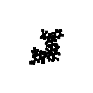 C/C(=C\[C@H](C(C)C)N(C)C(=O)[C@@H](NC(=O)[C@@H](N(C)C(=O)OC(C)(C)C)C(C)(C)c1ccccc1)C(C)(C)C)C(=O)N[C@H](CC(=O)O)C(=O)OC(C)(C)C